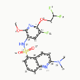 COc1nc(OCC(F)F)c(F)cc1NS(=O)(=O)c1cccc2nc(N(C)C)ccc12